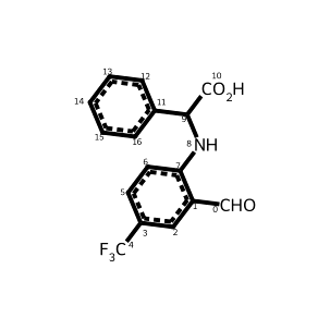 O=Cc1cc(C(F)(F)F)ccc1NC(C(=O)O)c1ccccc1